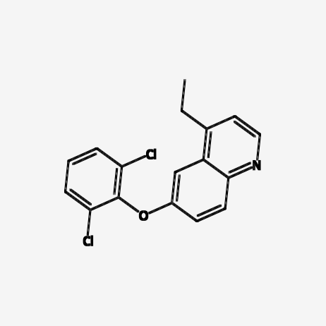 CCc1ccnc2ccc(Oc3c(Cl)cccc3Cl)cc12